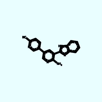 N#Cc1ccc(-c2cnc(N)c(-c3nc4ccccc4[nH]3)c2)cn1